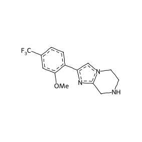 COc1cc(C(F)(F)F)ccc1-c1cn2c(n1)CNCC2